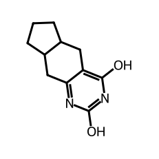 Oc1nc(O)c2c(n1)CC1CCCC1C2